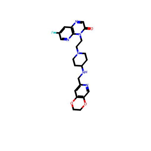 O=c1cnc2cc(F)cnc2n1CCN1CCC(NCc2cc3c(cn2)OCCO3)CC1